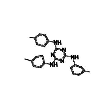 Cc1ccc(Nc2nc(Nc3ccc(C)cc3)nc(Nc3cccc(C)c3)n2)cc1